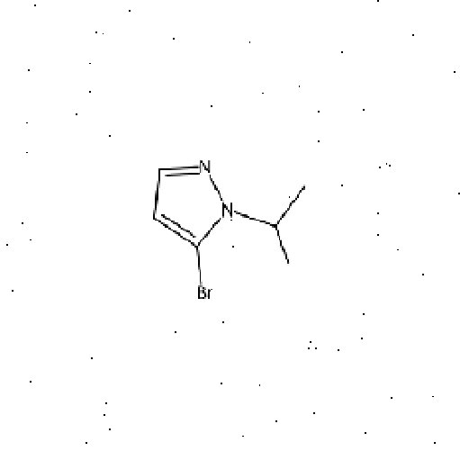 CC(C)n1nccc1Br